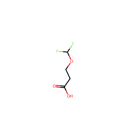 O=C(O)CCOC(F)F